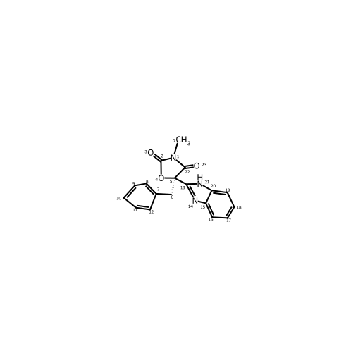 CN1C(=O)O[C@](Cc2ccccc2)(c2nc3ccccc3[nH]2)C1=O